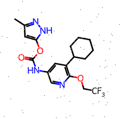 Cc1cc(OC(=O)Nc2cnc(OCC(F)(F)F)c(C3CCCCC3)c2)[nH]n1